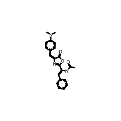 CC(=O)NC(=Cc1ccccc1)C1=NC(=Cc2ccc(N(C)C)cc2)C(=O)O1